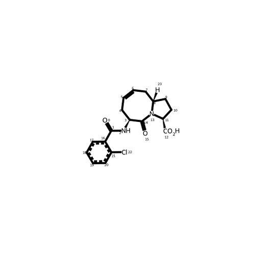 O=C(N[C@H]1CC=CC[C@@H]2CC[C@@H](C(=O)O)N2C1=O)c1ccccc1Cl